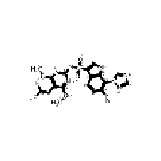 COc1nc(NS(=O)(=O)c2c[nH]c3c(-n4cncn4)c(Cl)ccc23)nc(OC)c1CC(F)F